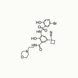 N#CC1(c2cc(NS(=O)(=O)c3cc(Br)ccc3O)c(O)c(C(=O)NCCN3CCOCC3)c2)CCC1